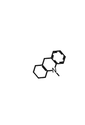 CN1C2=C(CCCC2)Cc2ccccc21